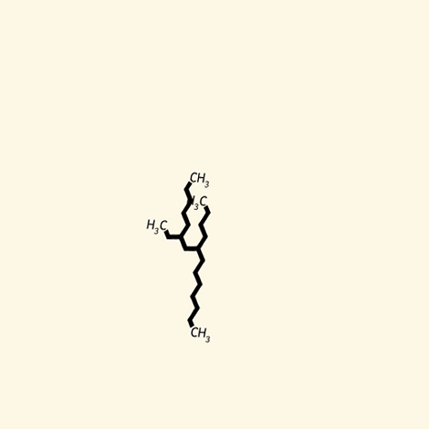 CCCCCCCC(CCCC)CC(CC)CCCCC